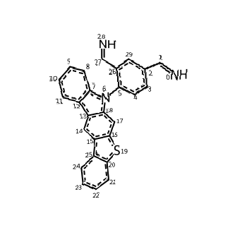 N=Cc1ccc(-n2c3ccccc3c3cc4c(cc32)sc2ccccc24)c(C=N)c1